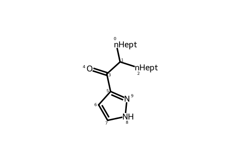 CCCCCCCC(CCCCCCC)C(=O)c1cc[nH]n1